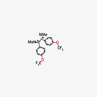 CN[C@H](c1ccc(OC(F)(F)F)cc1)[C@H](NC)c1ccc(OC(F)(F)F)cc1